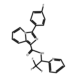 O=C(NC(c1ccccn1)C(F)(F)F)c1nc(-c2ccc(F)cc2)n2ccccc12